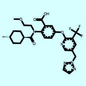 COCCN(c1ccc(Oc2ncc(Cn3nccn3)cc2C(F)(F)F)cc1C(=O)O)C(=O)[C@H]1CC[C@H](C)CC1